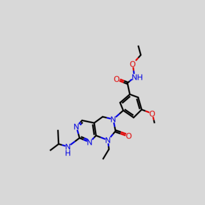 CCONC(=O)c1cc(OC)cc(N2Cc3cnc(NC(C)C)nc3N(CC)C2=O)c1